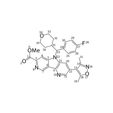 COC(=O)c1cc2c(cn1)c1ncc(-c3c(C)noc3C)cc1n2C(c1ccc(F)cc1)C1CCOCC1